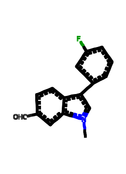 Cn1cc(-c2cccc(F)c2)c2ccc(C=O)cc21